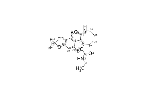 CCNC(=O)O/C1=C(\c2c(Br)cc(OC(F)(F)F)cc2Br)C(=O)NCCCC1